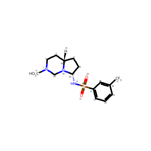 O=C(O)N1CC[C@@H]2CC[C@H](NS(=O)(=O)c3cccc(C(F)(F)F)c3)N2C1